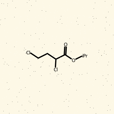 CC(C)OC(=O)C(Cl)CCCl